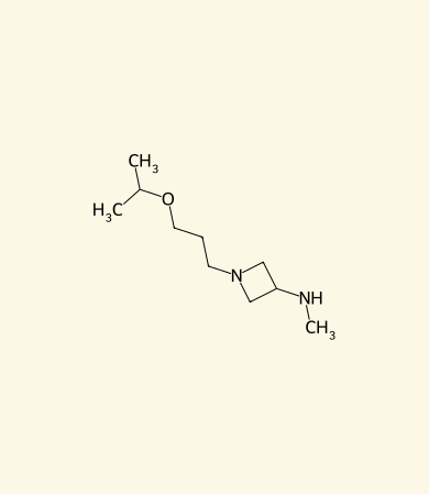 CNC1CN(CCCOC(C)C)C1